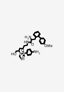 COc1ccc(-c2ccccc2CC(N)C(=O)NCCCCC(CO)N(CC(C)C)S(=O)(=O)c2ccc(N)cc2)cc1